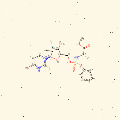 CC(C)OC(=O)[C@H](C)NP(=O)(OC[C@H]1O[C@@H](n2ccc(=O)[nH]c2=S)[C@](C)(F)C1O)Oc1ccccc1